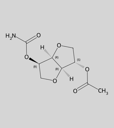 CC(=O)O[C@H]1CO[C@H]2[C@@H]1OC[C@H]2OC(N)=O